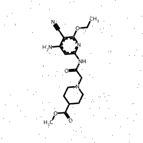 CCOc1nc(NC(=O)CN2CCC(C(=O)OC)CC2)cc(N)c1C#N